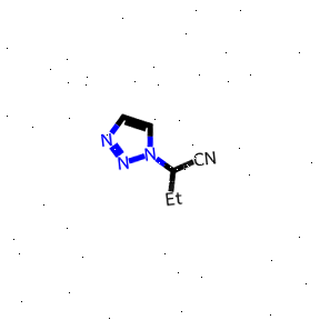 CCC(C#N)n1ccnn1